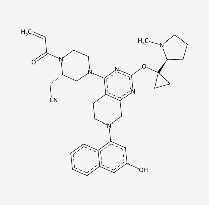 C=CC(=O)N1CCN(c2nc(OC3([C@@H]4CCCN4C)CC3)nc3c2CCN(c2cc(O)cc4ccccc24)C3)C[C@@H]1CC#N